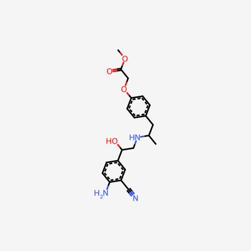 COC(=O)COc1ccc(CC(C)NCC(O)c2ccc(N)c(C#N)c2)cc1